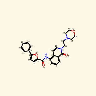 O=C(Nc1cccc2c(=O)n(CCN3CCOCC3)ccc12)c1ccc(-c2ccccc2)o1